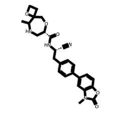 CC1NC[C@@H](C(=O)N[C@H](C#N)Cc2ccc(-c3ccc4oc(=O)n(C)c4c3)cc2)OCC12CCO2